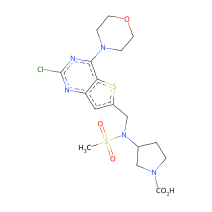 CS(=O)(=O)N(Cc1cc2nc(Cl)nc(N3CCOCC3)c2s1)C1CCN(C(=O)O)C1